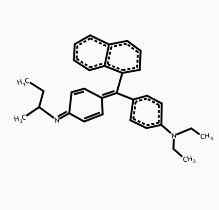 CCC(C)N=C1C=CC(=C(c2ccc(N(CC)CC)cc2)c2cccc3ccccc23)C=C1